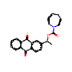 CC(OC(=O)N1C=C=CCC=C1)c1ccc2c(c1)C(=O)c1ccccc1C2=O